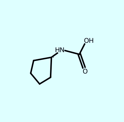 O=C(O)N[C]1CCCC1